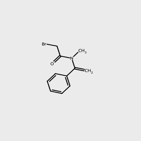 C=C(c1ccccc1)N(C)C(=O)CBr